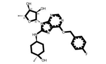 C[C@H]1O[C@@H](n2c(N[C@H]3CC[C@@](C)(O)CC3)nc3c(OCc4ccc(F)cc4)ncnc32)[C@H](O)[C@@H]1O